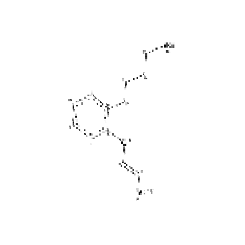 CCCCCCCCC=COc1c[c]ccc1CCCCC(C)CC